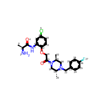 C[C@H](N)C(=O)Nc1cc(Cl)ccc1OCC(=O)N1C[C@@H](C)N(Cc2ccc(F)cc2)C[C@@H]1C